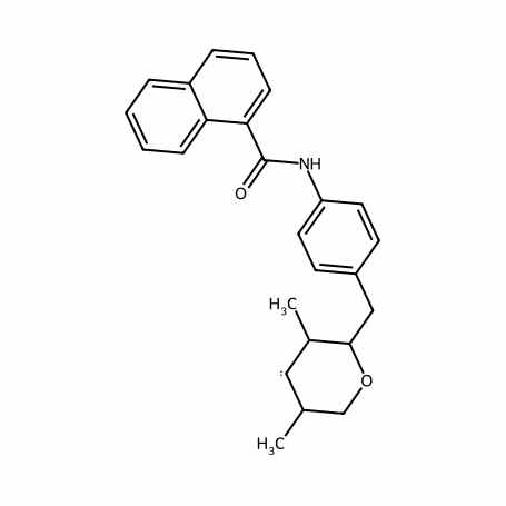 CC1[C]C(C)C(Cc2ccc(NC(=O)c3cccc4ccccc34)cc2)OC1